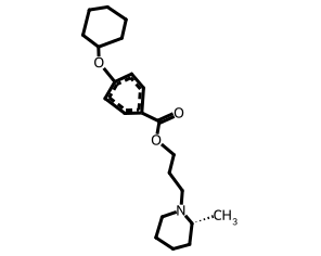 C[C@@H]1CCCCN1CCCOC(=O)c1ccc(OC2CCCCC2)cc1